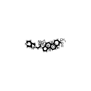 CO[C@H]1C[C@H]2[C@@H](CC[C@H]3C[C@](C)(O)CC[C@@]32C)[C@@H]2CC[C@H](C(O)Cn3cc4ccncc4n3)[C@@]12C